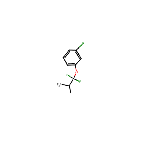 CC(C(F)(F)F)C(F)(F)Oc1cccc(F)c1